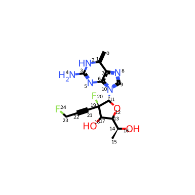 C=C1NC(N)=Nc2c1ncn2[C@@H]1OC([C@H](C)O)C(O)[C@]1(F)C#CCF